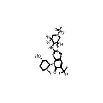 [2H]C(F)(F)c1cc2cnc(NC3C([2H])([2H])CN(S(C)(=O)=O)CC3([2H])[2H])nc2n([C@H]2C[C@H](O)CC[C@@H]2F)c1=O